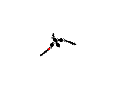 CCCCCCCCCCCCOc1ccc(COc2cc(C(=O)OCCC)cc(OCc3ccc(OCCCCCCCCCCCC)cc3)c2OCc2ccc(C)cc2)cc1